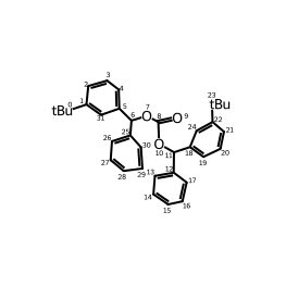 CC(C)(C)c1cccc(C(OC(=O)OC(c2ccccc2)c2cccc(C(C)(C)C)c2)c2ccccc2)c1